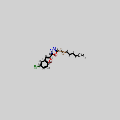 CCCCCSSc1nnc(-c2cc3cc(Br)ccc3o2)o1